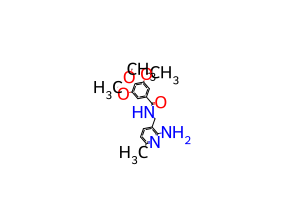 COc1cc(C(=O)NCc2ccc(C)nc2N)cc(OC)c1OC